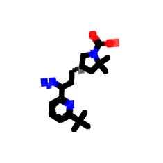 CC(C)(C)c1cccc(C(N)CC[C@@H]2CN(C(=O)O)C(C)(C)C2)n1